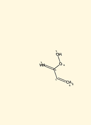 C=CC(=N)OO